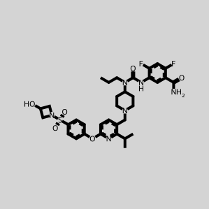 CCCN(C(=O)Nc1cc(C(N)=O)c(F)cc1F)C1CCN(Cc2ccc(Oc3ccc(S(=O)(=O)N4CC(O)C4)cc3)nc2C(C)C)CC1